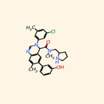 Cc1cc(Cl)cc(N2C=Nc3cc(C)c(-c4cccc(O)c4)cc3C2C(=O)N(C)CC2CCCN2)c1